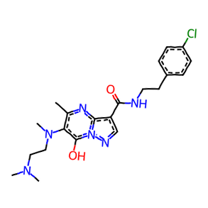 Cc1nc2c(C(=O)NCCc3ccc(Cl)cc3)cnn2c(O)c1N(C)CCN(C)C